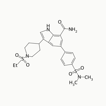 CCS(=O)(=O)N1CCC(c2c[nH]c3c(C(N)=O)cc(-c4ccc(S(=O)(=O)N(C)C)cc4)cc23)CC1